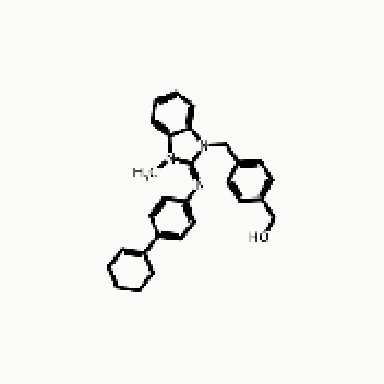 Cn1/c(=N\c2ccc(C3=CCCCC3)cc2)n(Cc2ccc(CO)cc2)c2ccccc21